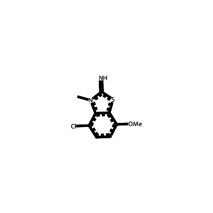 COc1ccc(Cl)c2c1sc(=N)n2C